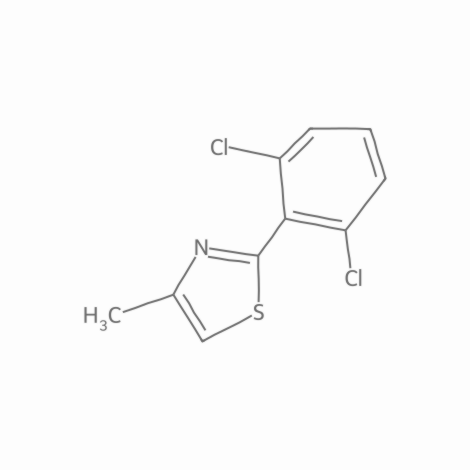 Cc1csc(-c2c(Cl)cccc2Cl)n1